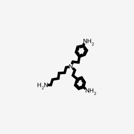 NCCCCCCN(CCc1ccc(N)cc1)CCc1ccc(N)cc1